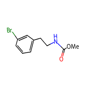 COC(=O)NCCc1cccc(Br)c1